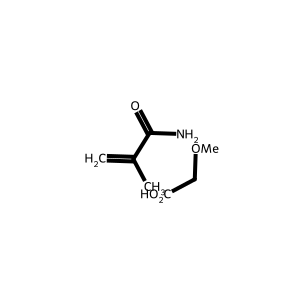 C=C(C)C(N)=O.COCC(=O)O